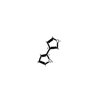 c1coc(-c2ccoc2)c1